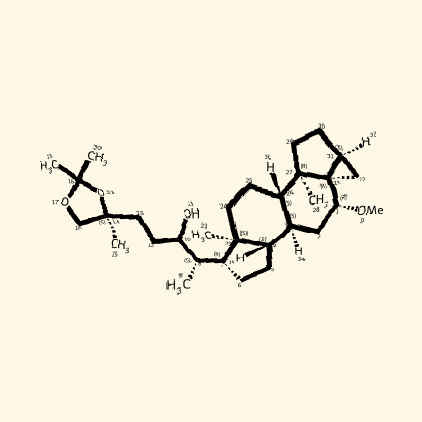 CO[C@@H]1C[C@H]2[C@@H]3CC[C@H]([C@H](C)C(O)CC[C@@]4(C)COC(C)(C)O4)[C@@]3(C)CC[C@@H]2[C@@]2(C)CC[C@H]3C[C@]312